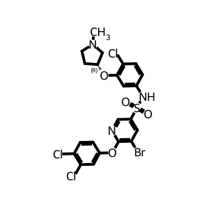 CN1CC[C@@H](Oc2cc(NS(=O)(=O)c3cnc(Oc4ccc(Cl)c(Cl)c4)c(Br)c3)ccc2Cl)C1